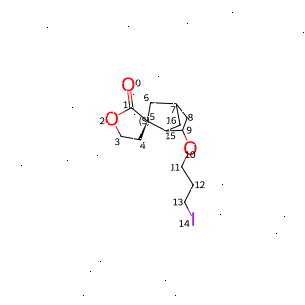 O=C1OCC[C@]12CC1CC(OCCCI)C2C1